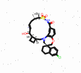 CCCC[C@@H]1[C@@H](C)C/C=C/[C@H](O)[C@@H]2CC[C@H]2CN2C[C@@]3(CCCc4cc(Cl)ccc43)COc3ccc(cc32)C(=O)NS1(=O)=O